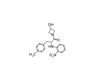 Cc1ccc(CC(Nc2ccccc2[N+](=O)[O-])C(=O)N2CC(O)C2)cc1